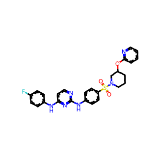 O=S(=O)(c1ccc(Nc2nccc(Nc3ccc(F)cc3)n2)cc1)N1CCCC(Oc2ccccn2)C1